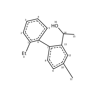 CCc1ccccc1-c1ccc(C)cc1C(C)O